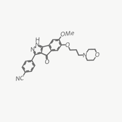 COc1cc2c(cc1OCCCN1CCOCC1)C(=O)c1c(-c3ccc(C#N)cc3)n[nH]c1-2